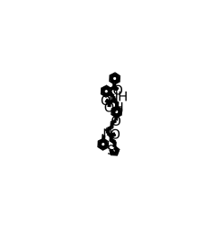 O=C(c1ccccc1)c1ccccc1NC(Cc1ccc(OCCCN(Cc2ccccc2)C(=O)C=Cc2cccs2)cc1)C(=O)O